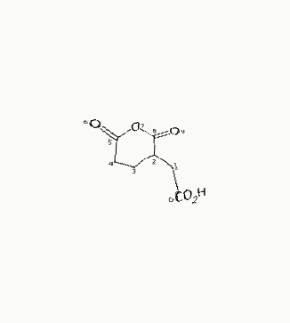 O=C(O)CC1CCC(=O)OC1=O